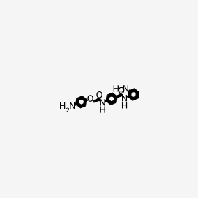 Nc1ccc(OCC(=O)Nc2ccc(C(=O)Nc3ccccc3N)cc2)cc1